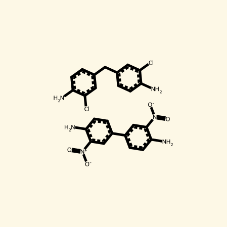 Nc1ccc(-c2ccc(N)c([N+](=O)[O-])c2)cc1[N+](=O)[O-].Nc1ccc(Cc2ccc(N)c(Cl)c2)cc1Cl